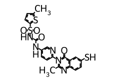 Cc1ccc(S(=O)(=O)NC(=O)Nc2ccc(-n3c(C)nc4ccc(S)cc4c3=O)nc2)s1